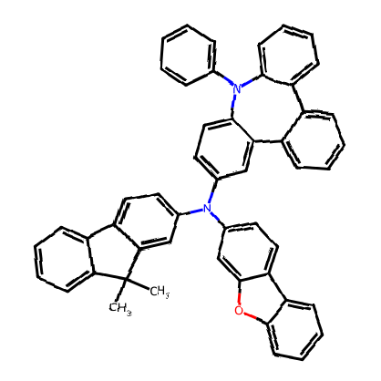 CC1(C)c2ccccc2-c2ccc(N(c3ccc4c(c3)-c3ccccc3-c3ccccc3N4c3ccccc3)c3ccc4c(c3)oc3ccccc34)cc21